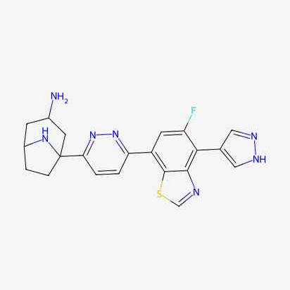 NC1CC2CCC(c3ccc(-c4cc(F)c(-c5cn[nH]c5)c5ncsc45)nn3)(C1)N2